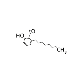 CCCCCCCCc1cccc(O)c1C1CO1